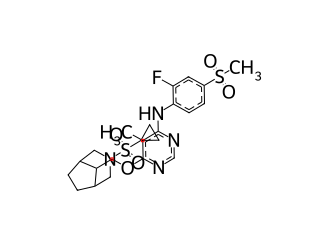 Cc1c(Nc2ccc(S(C)(=O)=O)cc2F)ncnc1OCC1C2CCC1CN(S(=O)(=O)C1CC1)C2